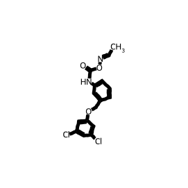 CC=NOC(=O)Nc1cccc(COc2cc(Cl)cc(Cl)c2)c1